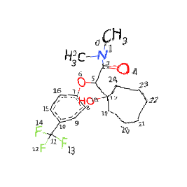 CN(C)C(=O)C(Oc1ccc(C(F)(F)F)cc1)C1(O)CCCCCC1